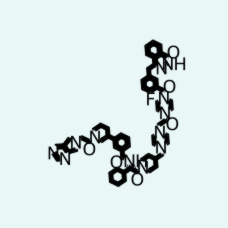 O=C(N[C@@H](C(=O)N1CCC(CN2CCN(CC(=O)N3CCN(C(=O)c4cc(Cc5n[nH]c(=O)c6ccccc56)ccc4F)CC3)CC2)CC1)C1CCCCC1)c1cccc(C2CCCN(C(=O)CN3Cc4cncnc4C3)C2)c1